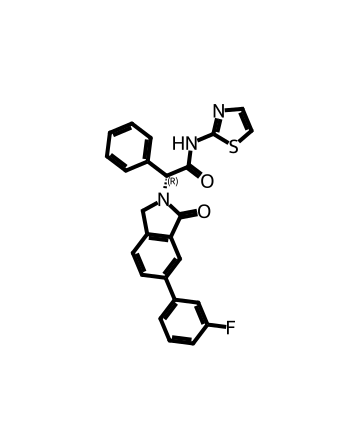 O=C(Nc1nccs1)[C@@H](c1ccccc1)N1Cc2ccc(-c3cccc(F)c3)cc2C1=O